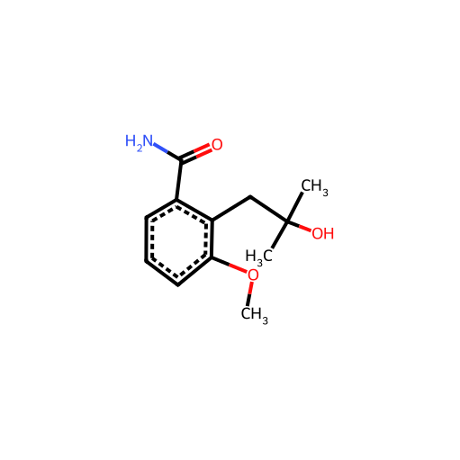 COc1cccc(C(N)=O)c1CC(C)(C)O